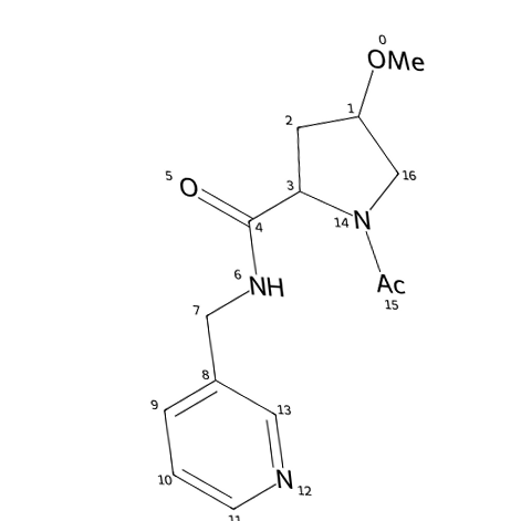 COC1CC(C(=O)NCc2cccnc2)N(C(C)=O)C1